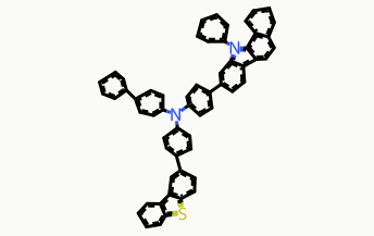 c1ccc(-c2ccc(N(c3ccc(-c4ccc5sc6ccccc6c5c4)cc3)c3ccc(-c4ccc5c6ccc7ccccc7c6n(-c6ccccc6)c5c4)cc3)cc2)cc1